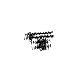 CCCCCCCCCCCCCCCC(=O)O.CCCCCCCCCCCCCCCCCC(=O)O.O=C(CO)[C@H](O)[C@@H](O)[C@H](O)CO.O=C(CO)[C@H](O)[C@@H](O)[C@H](O)CO